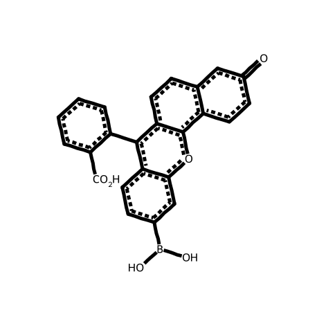 O=C(O)c1ccccc1-c1c2ccc(B(O)O)cc2oc2c1ccc1cc(=O)ccc12